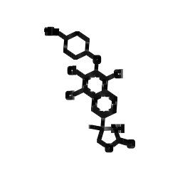 CC1(c2ccc3c(Cl)c(OC4CCC(C(C)(C)C)CC4)c(Cl)c(Cl)c3c2)COC(=O)N1